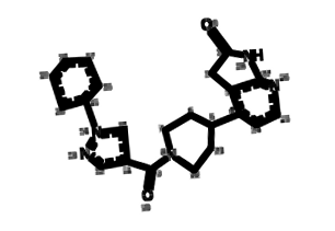 O=C1Cc2c(C3CCN(C(=O)c4cnn(-c5ccccc5)c4)CC3)ccnc2N1